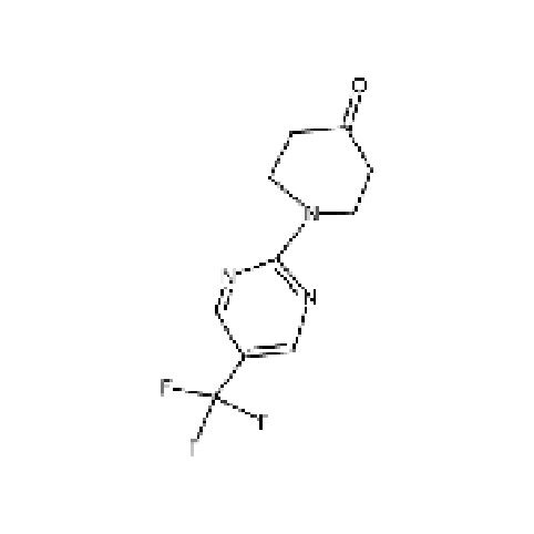 O=C1CCN(c2ncc(C(F)(F)F)cn2)CC1